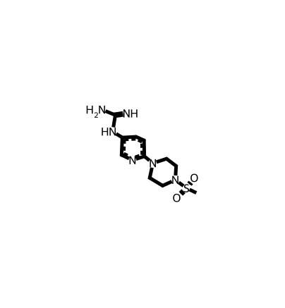 CS(=O)(=O)N1CCN(c2ccc(NC(=N)N)cn2)CC1